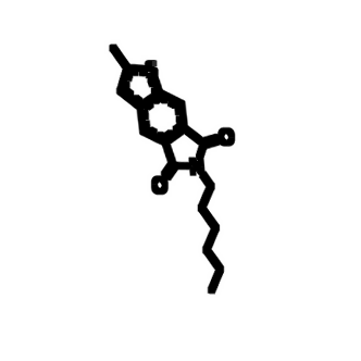 CCCCCCN1C(=O)c2cc3cc(C)sc3cc2C1=O